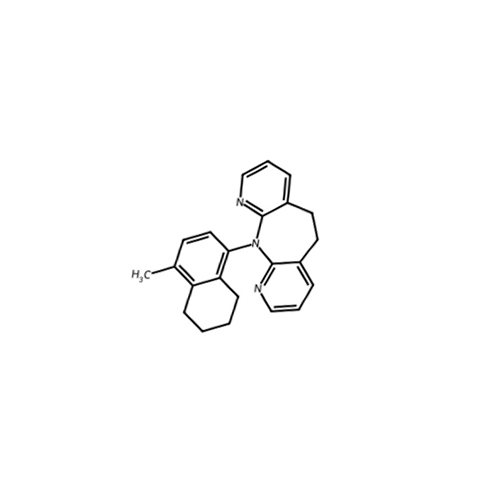 Cc1ccc(N2c3ncccc3CCc3cccnc32)c2c1CCCC2